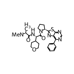 CN[C@@H](C)C(=O)N[C@H](C(=O)N1CCC[C@H]1c1nc2c(-c3ccccc3)ncnc2s1)C1CCOCC1